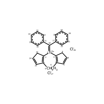 CC1=[C]([Ti+2]([C]2=C(C)C=CC2)=[C](c2ccccc2)c2ccccc2)CC=C1.[Cl-].[Cl-]